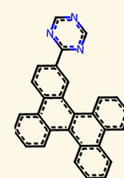 c1ccc2c(c1)c1ccccc1c1c3cc(-c4ncncn4)ccc3c3ccccc3c21